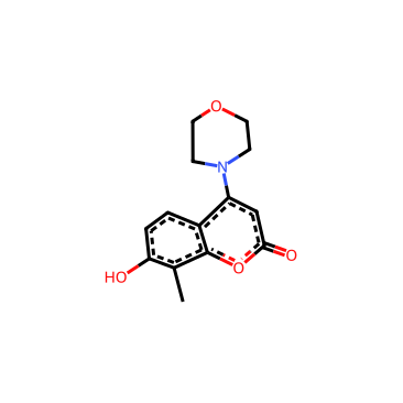 Cc1c(O)ccc2c(N3CCOCC3)cc(=O)oc12